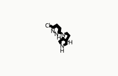 Clc1ccc(N2CC[C@H]3CNC[C@H]32)nn1